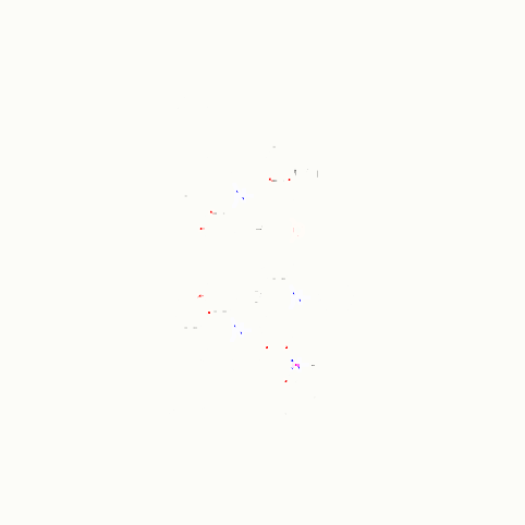 CC(C)(C)c1cc2c3c(c1)N(c1c(-c4ccccc4)cc(-c4ccccc4)cc1-c1ccccc1)c1ccccc1B3c1cc3c(cc1O2)N(c1ccccc1)c1cc(N2C4CC5CC(C4)CC2C5)cc2c1B3c1ccccc1N2c1c(-c2ccccc2)cc(-c2ccccc2)cc1-c1ccccc1